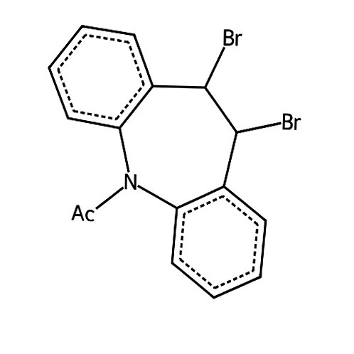 CC(=O)N1c2ccccc2C(Br)C(Br)c2ccccc21